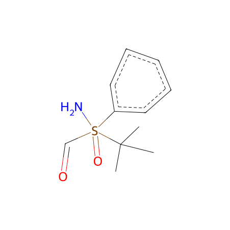 CC(C)(C)S(N)(=O)(C=O)c1ccccc1